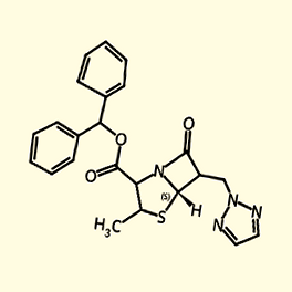 CC1S[C@H]2C(Cn3nccn3)C(=O)N2C1C(=O)OC(c1ccccc1)c1ccccc1